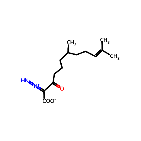 CC(C)=CCCC(C)CCCC(=O)C(=[N+]=N)C(=O)[O-]